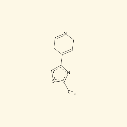 Cc1nc(C2=CCN=CC2)cs1